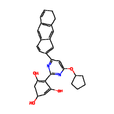 OC1=CC(O)CC(O)=C1c1nc(OC2CCCC2)cc(-c2ccc3cc4c(cc3c2)CCC=C4)n1